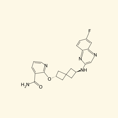 NC(=O)c1cccnc1O[C@H]1CC2(C[C@H](Nc3cnc4cc(F)ccc4n3)C2)C1